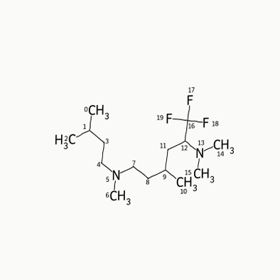 CC(C)CCN(C)CCC(C)CC(N(C)C)C(F)(F)F